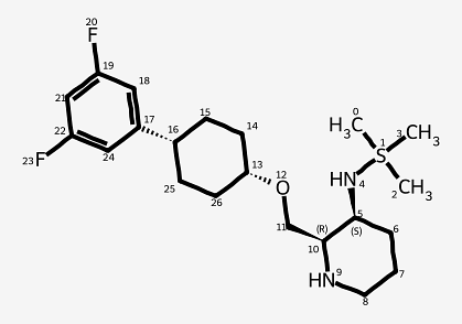 CS(C)(C)N[C@H]1CCCN[C@H]1CO[C@H]1CC[C@@H](c2cc(F)cc(F)c2)CC1